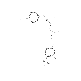 COc1ccc(CC(C)(C)NC[C@@H](O)COc2ccc(S(N)(=O)=O)c(Cl)c2Cl)cc1